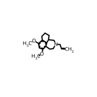 C=CCN1CCc2c(OC)cc(OC)c3c2C(CCC3)C1